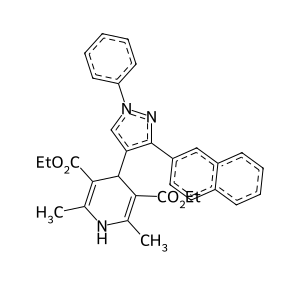 CCOC(=O)C1=C(C)NC(C)=C(C(=O)OCC)C1c1cn(-c2ccccc2)nc1-c1ccc2ccccc2c1